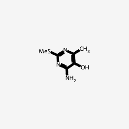 CSc1nc(C)c(O)c(N)n1